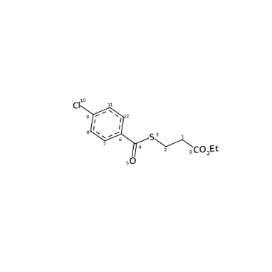 CCOC(=O)CCSC(=O)c1ccc(Cl)cc1